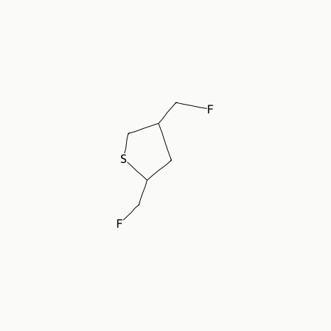 FCC1CSC(CF)C1